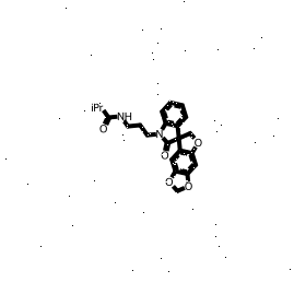 CC(C)C(=O)NCCCN1C(=O)C2(COc3cc4c(cc32)OCO4)c2ccccc21